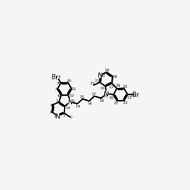 Cc1nccc2c3cc(Br)ccc3n(CCCCCn3c4ccc(Br)cc4c4ccnc(C)c43)c12